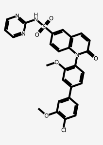 COc1cc(-c2ccc(-n3c(=O)ccc4cc(S(=O)(=O)Nc5ncccn5)ccc43)c(OC)c2)ccc1Cl